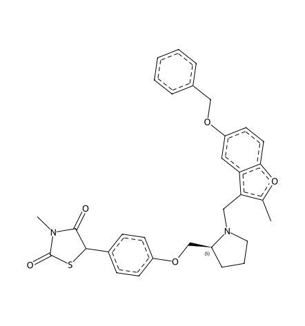 Cc1oc2ccc(OCc3ccccc3)cc2c1CN1CCC[C@H]1COc1ccc(C2SC(=O)N(C)C2=O)cc1